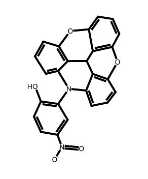 O=[N+]([O-])c1ccc(O)c(N2c3cccc4c3C3c5c(cccc5Oc5cccc2c53)O4)c1